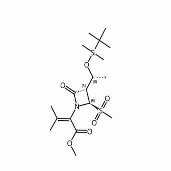 COC(=O)C(=C(C)C)N1C(=O)[C@H]([C@@H](C)O[Si](C)(C)C(C)(C)C)[C@H]1S(C)(=O)=O